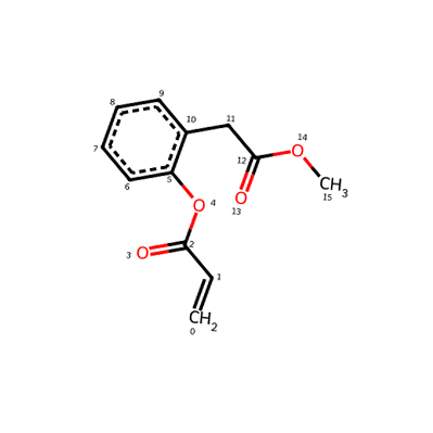 C=CC(=O)Oc1ccccc1CC(=O)OC